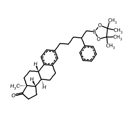 CC1(C)OB(CC(CCCc2ccc3c(c2)CC[C@@H]2[C@@H]3CC[C@]3(C)C(=O)CC[C@@H]23)c2ccccc2)OC1(C)C